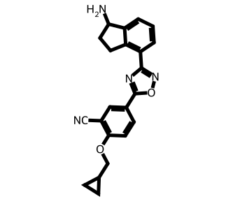 N#Cc1cc(-c2nc(-c3cccc4c3CCC4N)no2)ccc1OCC1CC1